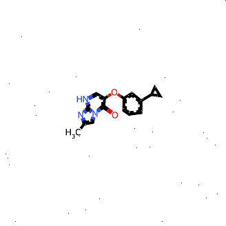 Cc1cn2c(=O)c(Oc3cccc(C4CC4)c3)c[nH]c2n1